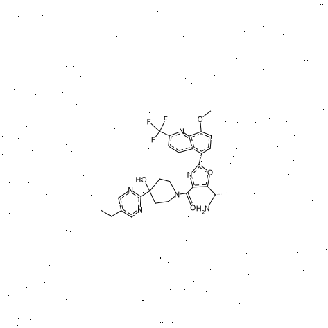 CCc1cnc(C2(O)CCN(C(=O)c3nc(-c4ccc(OC)c5nc(C(F)(F)F)ccc45)oc3[C@H](C)N)CC2)nc1